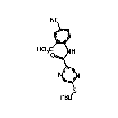 CCCCSc1cnc(C(=O)Nc2ccc(C#N)cc2C(=O)O)cn1